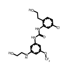 O=C(Nc1cc(NCCO)cc(OC(F)(F)F)c1)Nc1cc(Cl)ccc1CCO